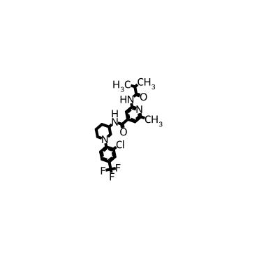 Cc1cc(C(=O)NC2CCCN(c3ccc(C(F)(F)F)cc3Cl)C2)cc(NC(=O)C(C)C)n1